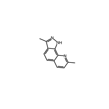 Cc1ccc2ccc3c(C)n[nH]c3c2n1